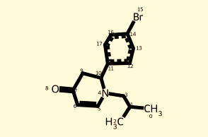 C[C](C)CN1C=CC(=O)CC1c1ccc(Br)cc1